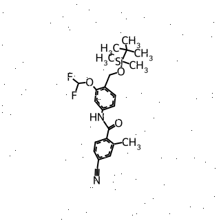 Cc1cc(C#N)ccc1C(=O)Nc1ccc(CO[Si](C)(C)C(C)(C)C)c(OC(F)F)c1